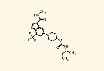 CC[C@H](C)NC(=O)OC1CCN(c2cc(C(F)(F)F)c3scc(C(=O)NC)c3n2)CC1